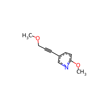 COCC#Cc1ccc(OC)nc1